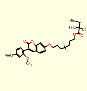 CCC(C)(CC(C)(C)C)C(=O)OCCCC(F)(F)CCCOc1ccc2cc(-c3ccc(OC)cc3OC(F)(F)F)c(=O)oc2c1